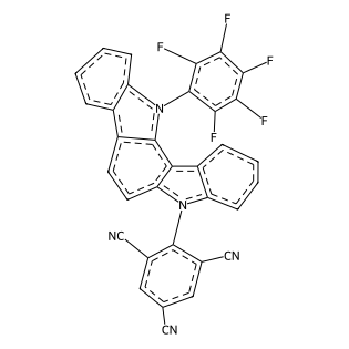 N#Cc1cc(C#N)c(-n2c3ccccc3c3c2ccc2c4ccccc4n(-c4c(F)c(F)c(F)c(F)c4F)c23)c(C#N)c1